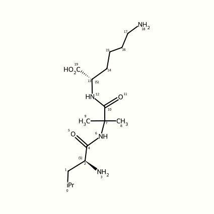 CC(C)C[C@H](N)C(=O)NC(C)(C)C(=O)N[C@@H](CCCCN)C(=O)O